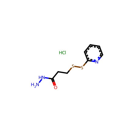 Cl.NNC(=O)CCSSc1ccccn1